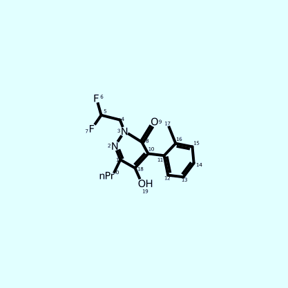 CCCc1nn(CC(F)F)c(=O)c(-c2ccccc2C)c1O